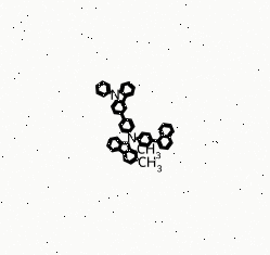 Cc1ccc2c(c1C)C(N(c1ccc(-c3ccc4c(c3)c3ccccc3n4-c3ccccc3)cc1)c1ccc(-c3cccc4ccccc34)cc1)c1ccccc1-2